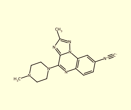 [C-]#[N+]c1ccc2nc(N3CCN(C)CC3)c3nc(C)nn3c2c1